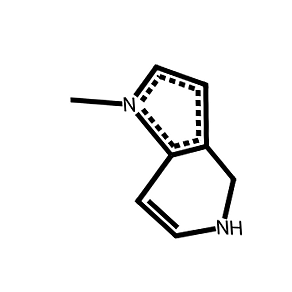 Cn1ccc2c1C=CNC2